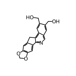 OCc1cc2cnc3c(c2cc1CO)Cc1cc2c(cc1-3)OCO2